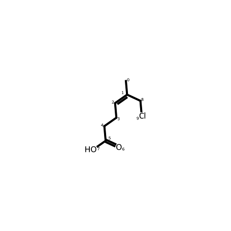 CC(=CCCC(=O)O)CCl